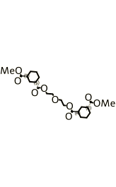 COC(=O)[C@@H]1CCC[C@@H](C(=O)OCCOCCOC(=O)[C@H]2CCC[C@H](C(=O)OC)C2)C1